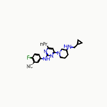 CCCc1cc(N2CCCC(NCC3CC3)C2)nc(Nc2ccc(F)c(C#N)c2)n1